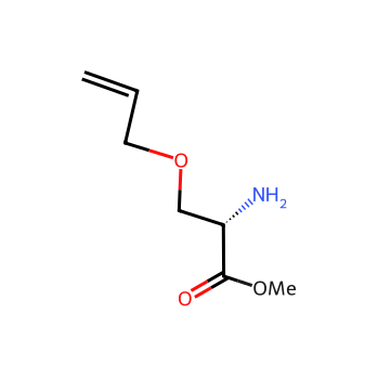 C=CCOC[C@H](N)C(=O)OC